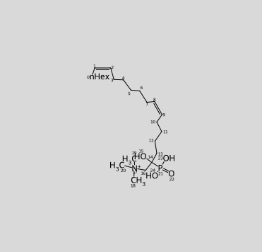 CCCCCC/C=C\CCCCC/C=C\CCCCC(O)(C[N+](C)(C)C)P(=O)(O)O